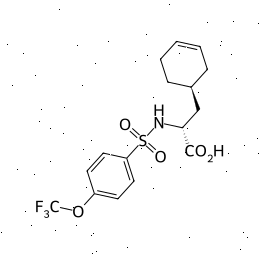 O=C(O)[C@@H](C[C@@H]1CC=CCC1)NS(=O)(=O)c1ccc(OC(F)(F)F)cc1